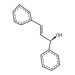 O[C@H](/C=C/c1ccccc1)c1ccccc1